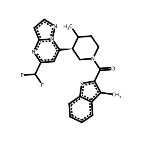 Cc1c(C(=O)N2CCC(C)[C@H](c3cc(C(F)F)nc4ccnn34)C2)sc2ccccc12